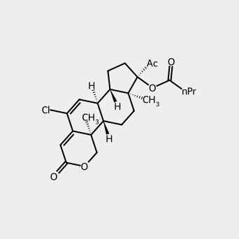 CCCC(=O)O[C@]1(C(C)=O)CC[C@H]2[C@@H]3C=C(Cl)C4=CC(=O)OC[C@]4(C)[C@H]3CC[C@@]21C